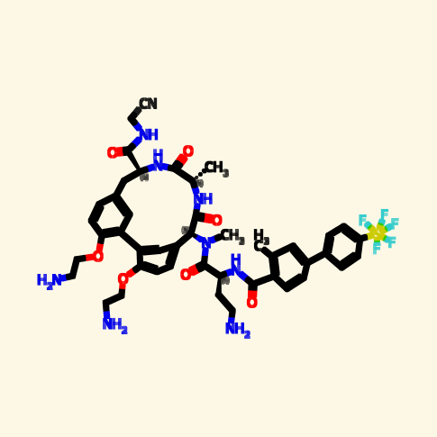 Cc1cc(-c2ccc(S(F)(F)(F)(F)F)cc2)ccc1C(=O)N[C@@H](CCN)C(=O)N(C)[C@@H]1C(=O)N[C@@H](C)C(=O)N[C@H](C(=O)NCC#N)Cc2ccc(OCCN)c(c2)-c2cc1ccc2OCCN